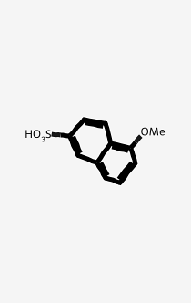 COc1cccc2cc(S(=O)(=O)O)ccc12